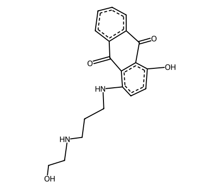 O=C1c2ccccc2C(=O)c2c(NCCCNCCO)ccc(O)c21